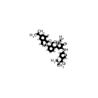 C=C(C)c1cc(F)c2c(=O)n(-c3cccc(-c4cc(Nc5ccc(C(=O)N(C)C)cn5)c(=O)n(C)n4)c3CO)ncc2c1